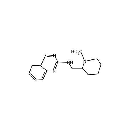 O=C(O)N1CCCCC1CNc1ncc2ccccc2n1